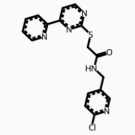 O=C(CSc1nccc(-c2ccccn2)n1)NCc1ccc(Cl)nc1